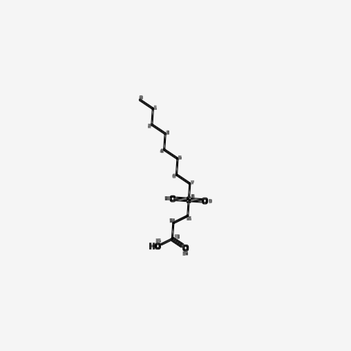 CCCCCCCCS(=O)(=O)CCC(=O)O